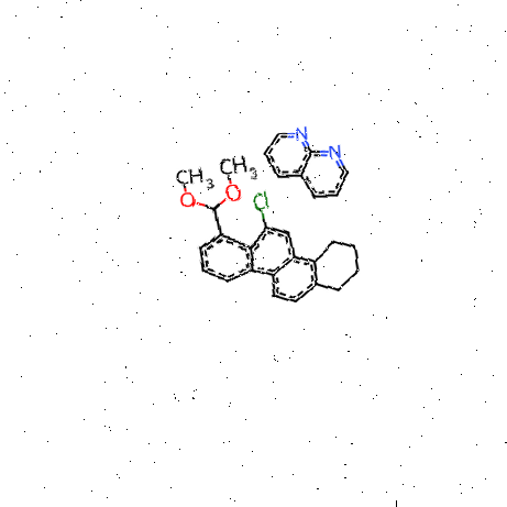 COC(OC)c1cccc2c1c(Cl)cc1c3c(ccc12)CCCC3.c1cnc2ncccc2c1